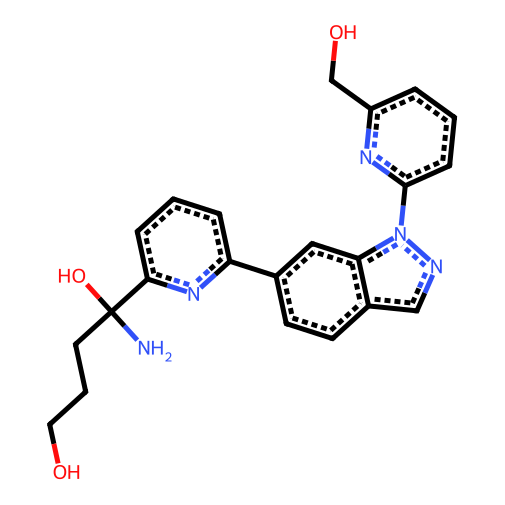 NC(O)(CCCO)c1cccc(-c2ccc3cnn(-c4cccc(CO)n4)c3c2)n1